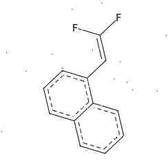 FC(F)=Cc1[c]ccc2ccccc12